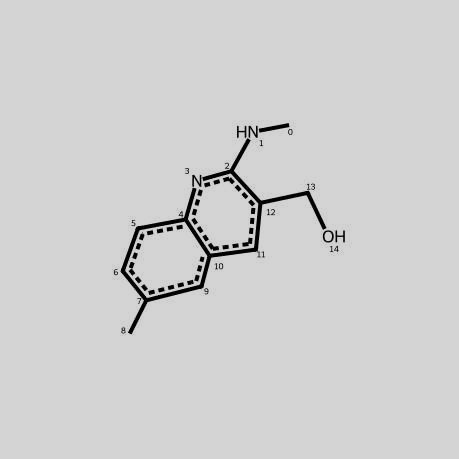 CNc1nc2ccc(C)cc2cc1CO